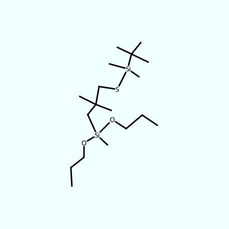 CCCO[Si](C)(CC(C)(C)CS[Si](C)(C)C(C)(C)C)OCCC